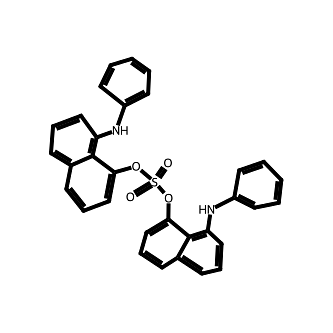 O=S(=O)(Oc1cccc2cccc(Nc3ccccc3)c12)Oc1cccc2cccc(Nc3ccccc3)c12